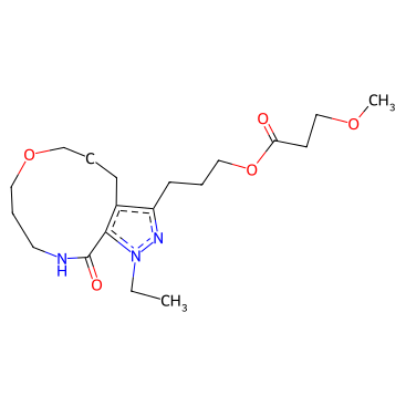 CCn1nc(CCCOC(=O)CCOC)c2c1C(=O)NCCCOCCC2